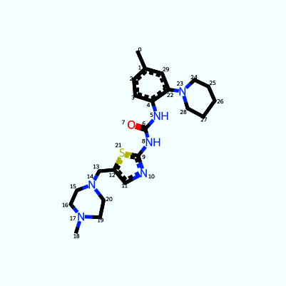 Cc1ccc(NC(=O)Nc2ncc(CN3CCN(C)CC3)s2)c(N2CCCCC2)c1